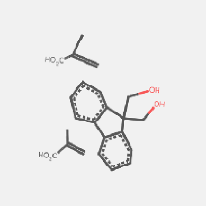 C=C(C)C(=O)O.C=C(C)C(=O)O.OCC1(CO)c2ccccc2-c2ccccc21